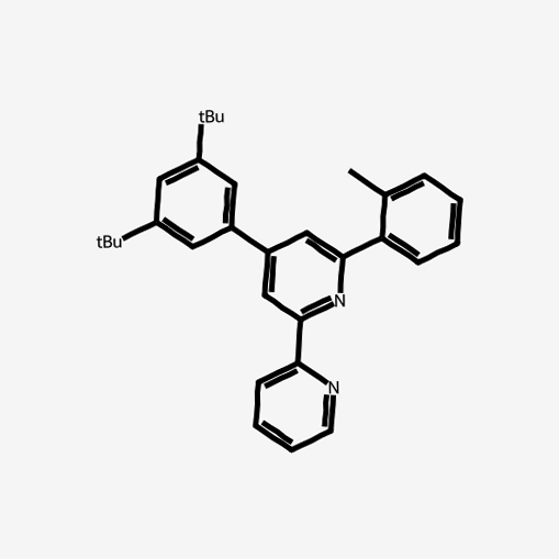 Cc1ccccc1-c1cc(-c2cc(C(C)(C)C)cc(C(C)(C)C)c2)cc(-c2ccccn2)n1